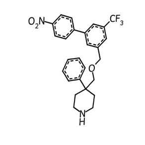 O=[N+]([O-])c1ccc(-c2cc(COCC3(c4ccccc4)CCNCC3)cc(C(F)(F)F)c2)cc1